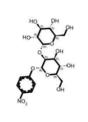 O=[N+]([O-])c1ccc(O[C@H]2O[C@H](CO)[C@@H](O)[C@H](O)[C@@H]2O[C@H]2O[C@H](CO)[C@@H](O)[C@H](O)[C@H]2O)cc1